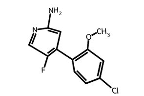 COc1cc(Cl)ccc1-c1cc(N)ncc1F